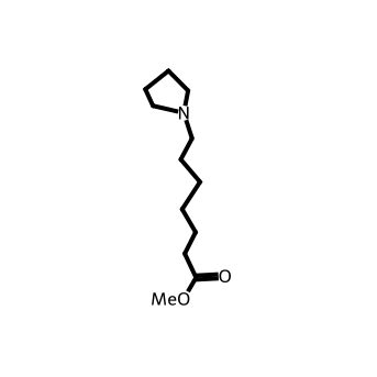 COC(=O)CCCCCCN1CCCC1